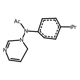 CC(=O)N(c1ccc(C(C)C)cc1)N1C=NC=CC1